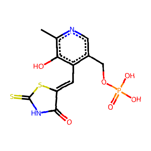 Cc1ncc(COP(=O)(O)O)c(/C=C2\SC(=S)NC2=O)c1O